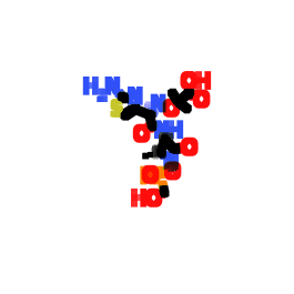 C[C@@H]1[C@H](NC(=O)/C(=N\OC(C)(C)C(=O)O)c2csc(N)n2)C(=O)N1O[PH](=O)CO